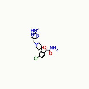 CNc1ncc(CN2CCC3(CC2)OC(C(N)=O)c2ccc(Cl)cc23)cn1